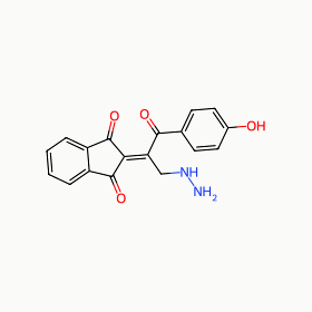 NNCC(C(=O)c1ccc(O)cc1)=C1C(=O)c2ccccc2C1=O